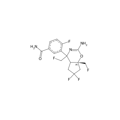 NC(=O)c1ccc(F)c(C2(CF)N=C(N)O[C@]3(CF)CC(F)(F)CC23)c1